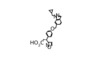 O=C(O)C[C@@H](c1ccc(OCc2ccc3cnn(CC4CC4)c3c2)cc1)c1ccon1